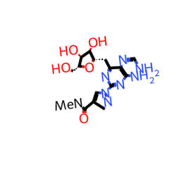 CNC(=O)c1cnn(-c2nc(N)c(/N=C\N)c(C[C@@H]3O[C@H](CO)[C@@H](O)[C@H]3O)n2)c1